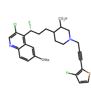 COc1ccc2ncc(Cl)c([C@H](F)CCC3CCN(CC#Cc4sccc4F)CC3C(=O)O)c2c1